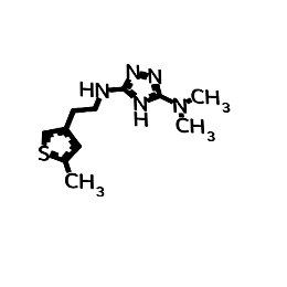 Cc1cc(CCNc2nnc(N(C)C)[nH]2)cs1